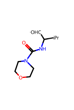 CC(C)C([C]=O)NC(=O)N1CCOCC1